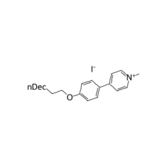 CCCCCCCCCCCCOc1ccc(-c2cc[n+](C)cc2)cc1.[I-]